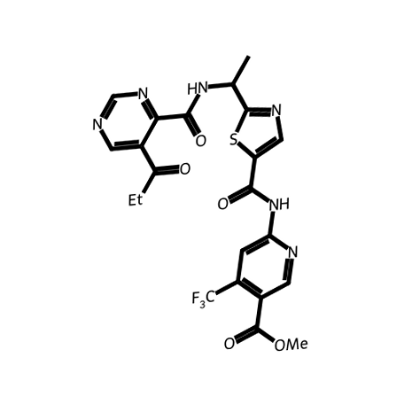 CCC(=O)c1cncnc1C(=O)NC(C)c1ncc(C(=O)Nc2cc(C(F)(F)F)c(C(=O)OC)cn2)s1